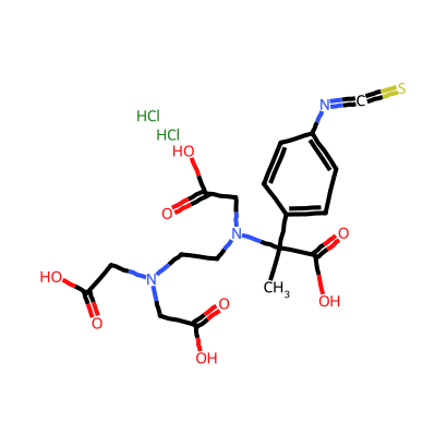 CC(C(=O)O)(c1ccc(N=C=S)cc1)N(CCN(CC(=O)O)CC(=O)O)CC(=O)O.Cl.Cl